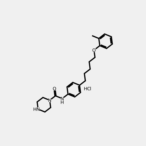 Cc1ccccc1OCCCCCc1ccc(NC(=O)N2CCNCC2)cc1.Cl